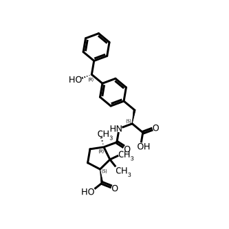 CC1(C)[C@@H](C(=O)O)CC[C@@]1(C)C(=O)N[C@@H](Cc1ccc([C@H](O)c2ccccc2)cc1)C(=O)O